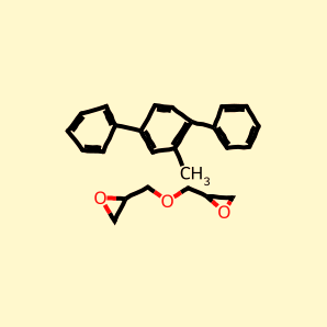 C(OCC1CO1)C1CO1.Cc1cc(-c2ccccc2)ccc1-c1ccccc1